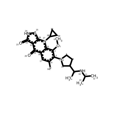 COc1c(N2CCC(C(C)NC(C)C)C2)c(F)cc2c(=O)c3c(=O)[nH]sc3n(C3CC3)c12